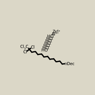 CCCCCCCCCCCCCCCCCCCCCC(Cl)(Cl)C(Cl)(Cl)Cl.[Al+3].[OH-].[OH-].[OH-].[OH-].[OH-].[OH-].[OH-].[Zr+4]